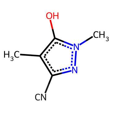 [C-]#[N+]c1nn(C)c(O)c1C